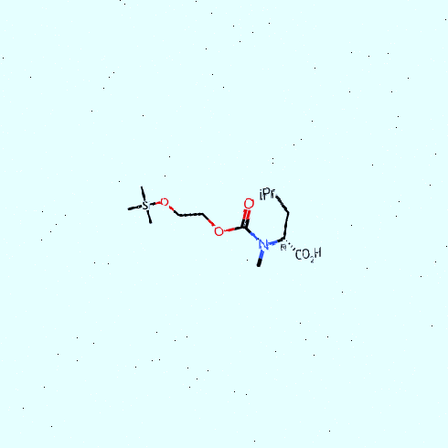 CC(C)C[C@H](C(=O)O)N(C)C(=O)OCCO[Si](C)(C)C